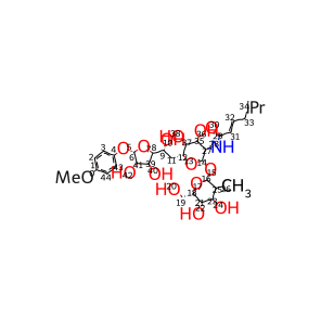 COc1ccc(O[C@@H]2OC([C@H](O)C[C@H]3O[C@@H](O[C@H]4O[C@@H](CO)[C@@H](O)C(O)C4C)[C@H](NC(=O)/C=C/CC(C)C)C(O)C3O)[C@@H](O)[C@H]2O)cc1